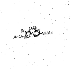 CC(=O)Nc1ccn([C@@H]2O[C@H](COC(C)=O)[C@@H](Br)[C@H]2OC(C)=O)c(=O)n1